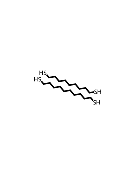 SCCCCCCCCCCS.SCCCCCCCCCS